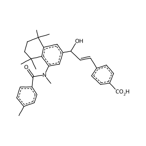 Cc1ccc(C(=O)N(C)c2cc(C(O)C=Cc3ccc(C(=O)O)cc3)cc3c2C(C)(C)CCC3(C)C)cc1